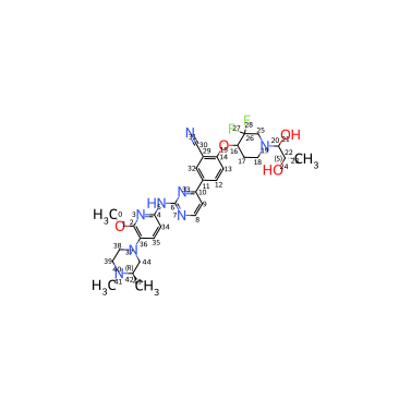 COc1nc(Nc2nccc(-c3ccc(OC4CCN(C(O)[C@H](C)O)CC4(F)F)c(C#N)c3)n2)ccc1N1CCN(C)[C@H](C)C1